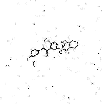 O=C(Nc1ccc(F)c(Cl)c1)c1cc(S(=O)(=O)NC2CCCCC2O)ccc1Cl